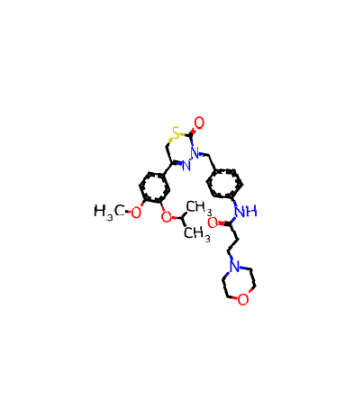 COc1ccc(C2=NN(Cc3ccc(NC(=O)CCN4CCOCC4)cc3)C(=O)SC2)cc1OC(C)C